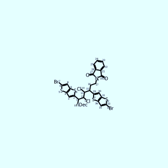 CCCCCCCCCCC(c1cc2sc(Br)cc2s1)C(Cl)C(Cl)C(CCN1C(=O)c2ccccc2C1=O)c1cc2sc(Br)cc2s1